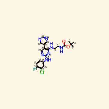 CC(C)(C)OC(=O)NCCNc1nc(Nc2ccc(F)c(Cl)c2)ncc1-c1cncnc1